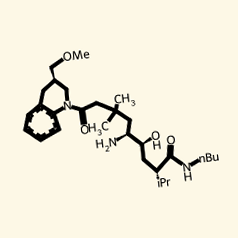 CCCCNC(=O)[C@@H](C[C@H](O)[C@@H](N)CC(C)(C)CC(=O)N1C[C@H](COC)Cc2ccccc21)C(C)C